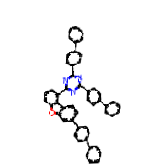 c1ccc(-c2ccc(-c3ccc4c(c3)oc3cccc(-c5nc(-c6ccc(-c7ccccc7)cc6)nc(-c6ccc(-c7ccccc7)cc6)n5)c34)cc2)cc1